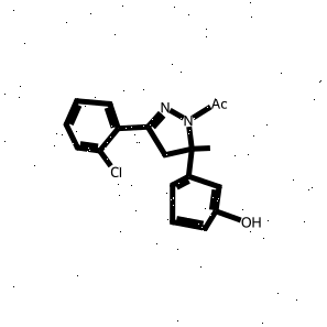 CC(=O)N1N=C(c2ccccc2Cl)CC1(C)c1cccc(O)c1